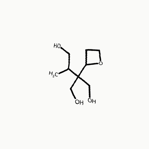 CC(CO)C(CO)(CO)C1CCO1